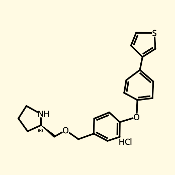 Cl.c1cc(-c2ccc(Oc3ccc(COC[C@H]4CCCN4)cc3)cc2)cs1